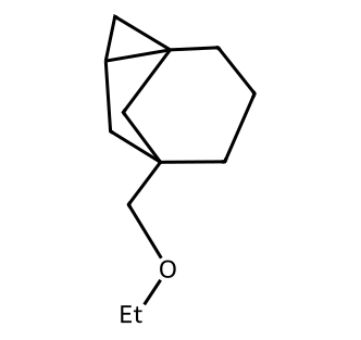 CCOCC12CCCC3(CC3C1)C2